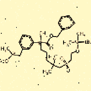 CC(=O)O[C@@H](C)Cc1cccc([C@@](C)(CCCC(C)(C)CS(=O)(=O)CCO[Si](C)(C)C(C)(C)C)C(=O)OCc2ccccc2)c1